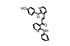 O=C(/C=C/c1cccnc1Nc1ccc(O)cc1)c1cccnc1Nc1ccccc1